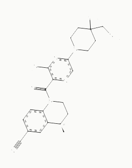 C[C@@H]1CCN(C(=N)c2ncc(N3CCC(C)(CN)CC3)nc2N)c2ccc(C#N)cc21